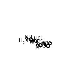 CCOC(=O)CN(c1ccc2c(c1)c(C(=O)NCc1ccc(C(=N)N)cc1)cn2C)S(=O)(=O)c1cccc2cccnc12.Cl